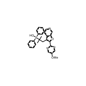 COc1cnc(-c2oc3cnccc3c2CC(C)(C)[Si](O)(c2ccccc2)c2ccccc2)nc1